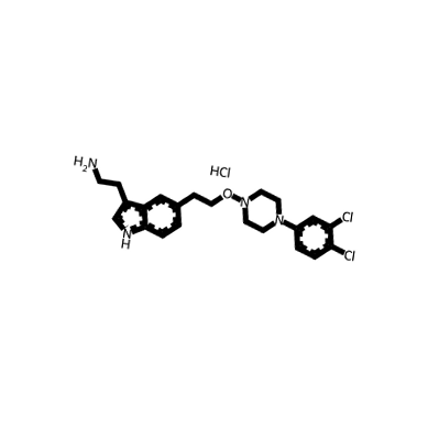 Cl.NCCc1c[nH]c2ccc(CCON3CCN(c4ccc(Cl)c(Cl)c4)CC3)cc12